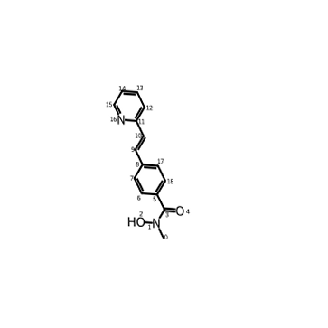 CN(O)C(=O)c1ccc(C=Cc2ccccn2)cc1